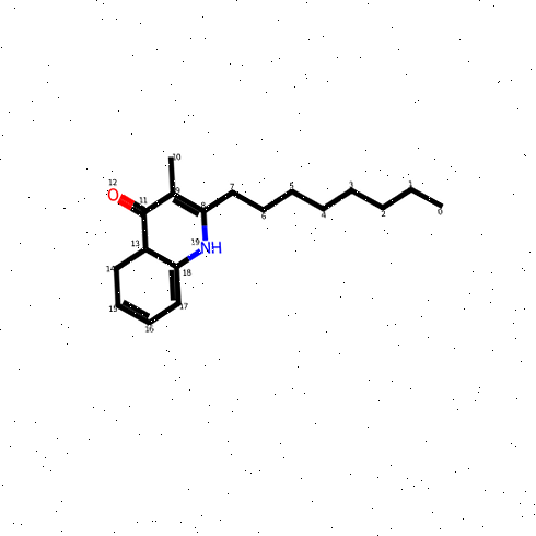 CCCCCCCCC1=C(C)C(=O)C2CC=CC=C2N1